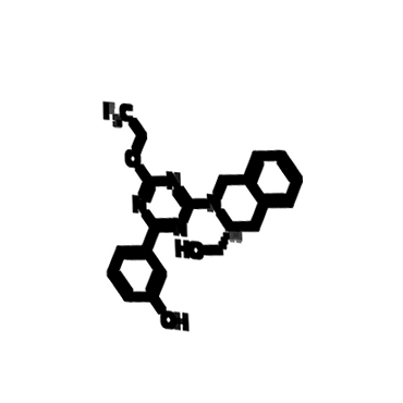 OC[C@H]1Cc2ccccc2CN1c1nc(OCC(F)(F)F)nc(-c2cccc(O)c2)n1